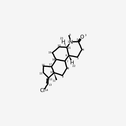 CN1C(=O)CC[C@@H]2C3CC[C@]4(C)/C(=C/Cl)CCC4C3CC[C@H]21